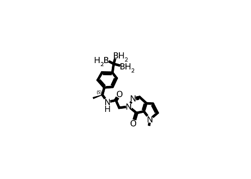 BC(B)(B)c1ccc([C@H](C)NC(=O)Cn2ncc3ccn(C)c3c2=O)cc1